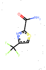 NC(=O)c1nc(C(F)(F)F)cs1